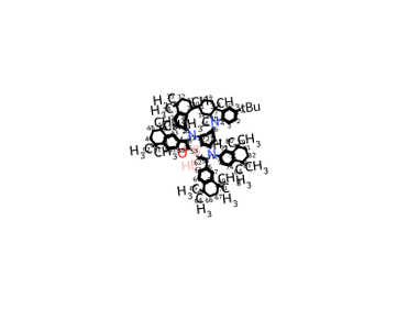 CC(C)(C)c1ccc2c(c1)C1(C)CCC3CC1(C)N2c1cc2c4c(c1)N(c1ccc5c(c1)C3(C)CCC5(C)C)c1c(oc3cc5c(cc13)C(C)(C)CCC5(C)C)B4C1=C(c3cc4c(cc3B1)C(C)(C)CCC4(C)C)N2c1ccc2c(c1)C(C)(C)CCC2(C)C